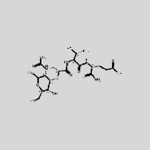 CC(=O)N[C@H]1C(O)O[C@H](CO)[C@@H](O)[C@H]1O[C@H](C)C(=O)N[C@H](C(=O)N[C@H](CCC(=O)O)C(N)=O)[C@@H](C)O